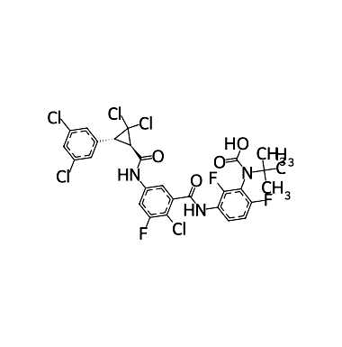 CC(C)(C)N(C(=O)O)c1c(F)ccc(NC(=O)c2cc(NC(=O)[C@H]3[C@H](c4cc(Cl)cc(Cl)c4)C3(Cl)Cl)cc(F)c2Cl)c1F